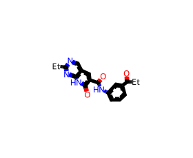 CCC(=O)c1cccc(NC(=O)c2cc3cnc(CC)nc3[nH]c2=O)c1